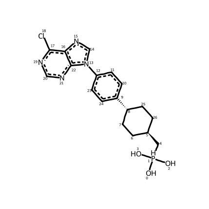 O[PH](O)(O)C[C@H]1CC[C@H](c2ccc(-n3cnc4c(Cl)ncnc43)cc2)CC1